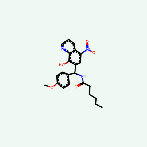 CCCCCC(=O)NC(c1ccc(OC)cc1)c1cc([N+](=O)[O-])c2cccnc2c1O